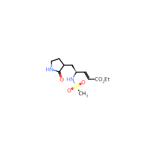 CCOC(=O)/C=C/[C@H](CC1CCNC1=O)NS(C)(=O)=O